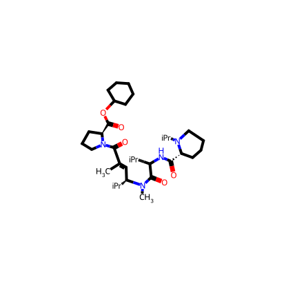 C/C(=C\[C@H](C(C)C)N(C)C(=O)C(NC(=O)[C@H]1CCCCN1C(C)C)C(C)C)C(=O)N1CCC[C@H]1C(=O)OC1CCCCC1